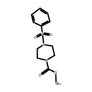 CC(C)(C)OC(=O)N1CCN(S(=O)(=O)c2cc[c]cc2)CC1